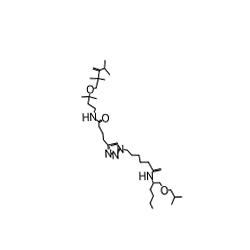 C=C(CCCCCn1cc(CCCC(=O)NCCC(C)(C)OCC(C)(C)C(=C)C(C)C)nn1)NC(CCCC)COCC(C)C